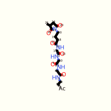 CC(=O)CCNC(=O)CNC(=O)CNC(=O)CNC(=O)CCCN1C(=O)CC(C)C1=O